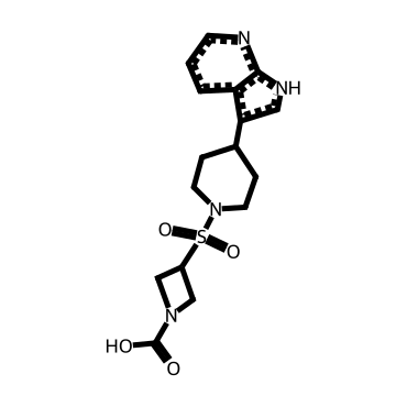 O=C(O)N1CC(S(=O)(=O)N2CCC(c3c[nH]c4ncccc34)CC2)C1